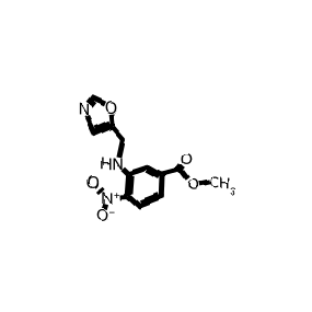 COC(=O)c1ccc([N+](=O)[O-])c(NCc2cnco2)c1